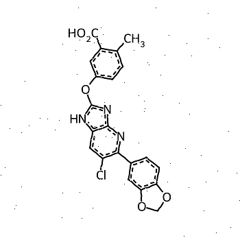 Cc1ccc(Oc2nc3nc(-c4ccc5c(c4)OCO5)c(Cl)cc3[nH]2)cc1C(=O)O